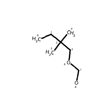 CCC(C)(C)COC[O]